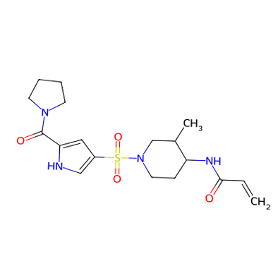 C=CC(=O)NC1CCN(S(=O)(=O)c2c[nH]c(C(=O)N3CCCC3)c2)CC1C